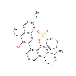 BC1=CCCc2c1cc(OS(=O)(=O)C1=CCCC=C1)c1c(-c3cc4cc(CC(C)(C)C)ccc4c(CC(C)(C)C)c3O)nccc21